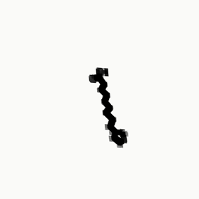 O=C(O)CCCCCCCCC1C=CSS1